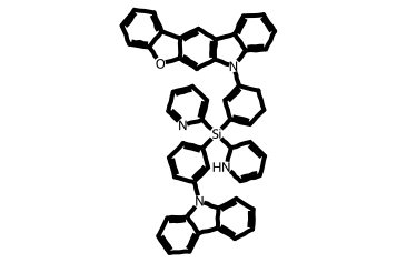 C1=CNC([Si](C2=CCCC(n3c4ccccc4c4cc5c(cc43)oc3ccccc35)=C2)(c2cccc(-n3c4ccccc4c4ccccc43)c2)c2ccccn2)C=C1